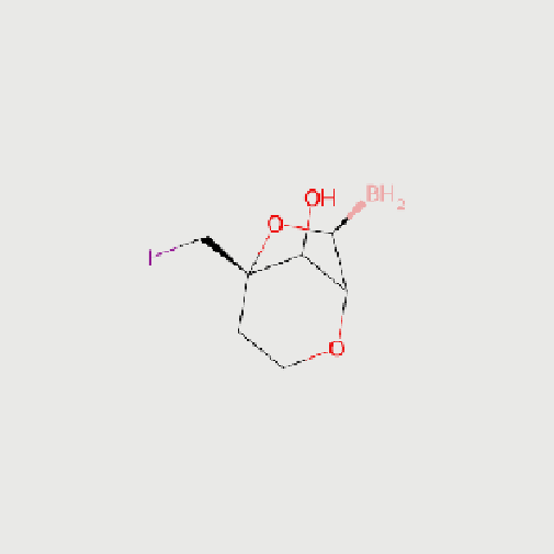 B[C@@H]1O[C@@]2(CI)CCOC1C2O